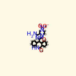 N=C(N)C1CN([N+](=O)[O-])CCN1C(=O)CC1c2ccccc2NC(=O)c2ccccc21